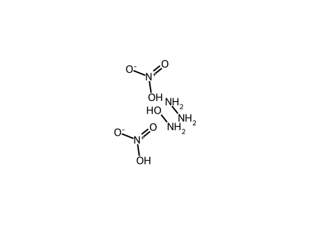 NN.NO.O=[N+]([O-])O.O=[N+]([O-])O